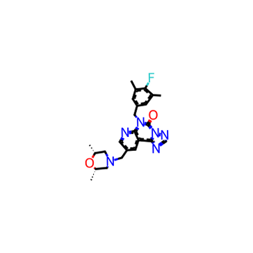 Cc1cc(Cn2c(=O)n3ncnc3c3cc(CN4C[C@@H](C)O[C@@H](C)C4)cnc32)cc(C)c1F